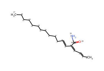 CC=CC=C(C=CCCCCCCCCCCC)C(N)=O